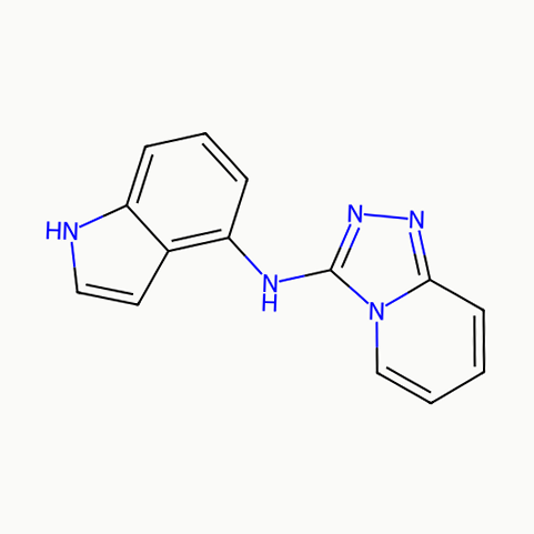 c1cc(Nc2nnc3ccccn23)c2cc[nH]c2c1